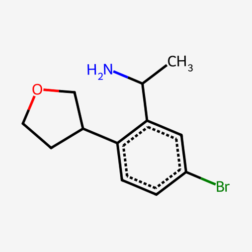 CC(N)c1cc(Br)ccc1C1CCOC1